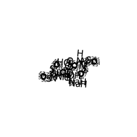 O=S(=O)(O)c1cc(Nc2nc(Sc3ccccc3)cc(Sc3ccccc3)n2)ccc1C=Cc1ccc(Nc2nc(Sc3ccccc3)cc(Sc3ccccc3)n2)cc1S(=O)(=O)O.[NaH].[NaH]